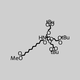 COC(=O)CCCCCCCCCCC(=O)NC(COCCC(=O)OC(C)(C)C)(COCCC(=O)OC(C)(C)C)COCCC(=O)OC(C)(C)C